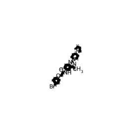 Cc1nc(N2CCC(N3CCCC3)CC2)nc2ccc(NC(=O)COc3ccc(Br)cc3)cc12